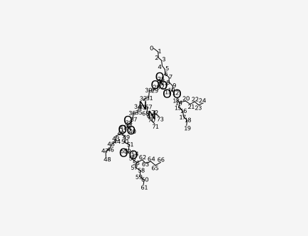 CCCCCCC(CCCC(=O)OCC(CCCCC)CCCCC)OC(=O)OCCCCN(CCCCOC(=O)OC(CCCCCC)CCCC(=O)OCC(CCCCC)CCCCC)CCN(CC)CC